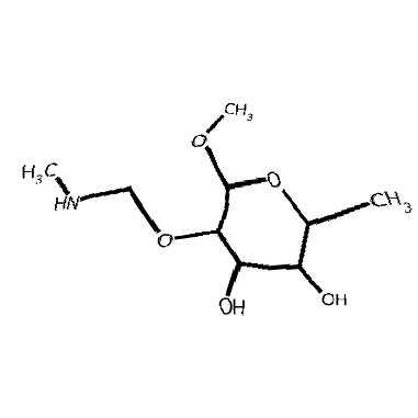 CNCOC1C(OC)OC(C)C(O)C1O